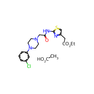 CC(=O)O.CCOC(=O)Cc1csc(NC(=O)CN2CCN(c3cccc(Cl)c3)CC2)n1